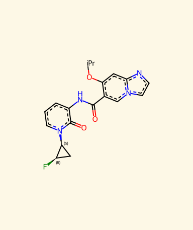 CC(C)Oc1cc2nccn2cc1C(=O)Nc1cccn([C@H]2C[C@H]2F)c1=O